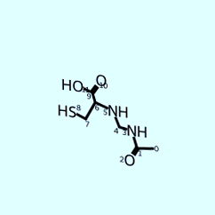 CC(=O)NCNC(CS)C(=O)O